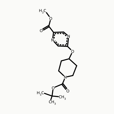 COC(=O)c1cnc(OC2CCN(C(=O)OC(C)(C)C)CC2)cn1